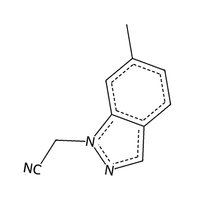 Cc1ccc2cnn(CC#N)c2c1